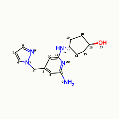 Nc1cc(Cn2cccn2)cc(N[C@H]2CC[C@H](O)CC2)n1